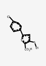 CCSc1cc(-c2ccc(Cl)cc2)sc1C(=O)O